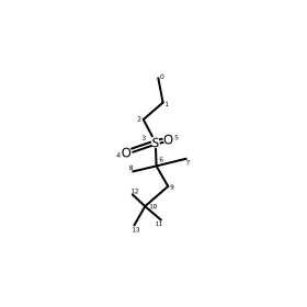 CCCS(=O)(=O)C(C)(C)CC(C)(C)C